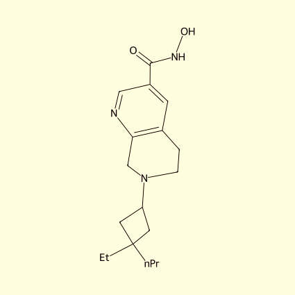 CCCC1(CC)CC(N2CCc3cc(C(=O)NO)cnc3C2)C1